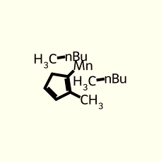 CC1=[C]([Mn])CC=C1.CCCCC.CCCCC